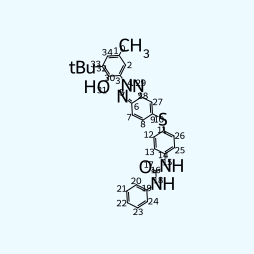 Cc1cc(-n2nc3ccc(Sc4ccc(NC(=O)Nc5ccccc5)cc4)cc3n2)c(O)c(C(C)(C)C)c1